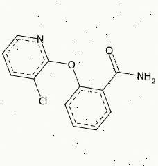 NC(=O)c1ccccc1Oc1ncccc1Cl